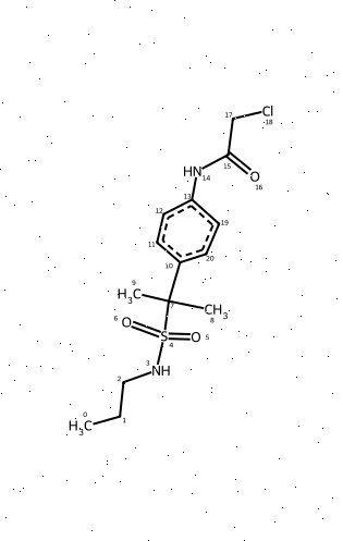 CCCNS(=O)(=O)C(C)(C)c1ccc(NC(=O)CCl)cc1